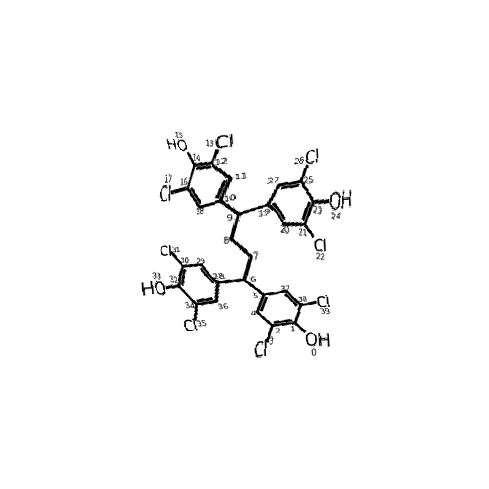 Oc1c(Cl)cc(C(CCC(c2cc(Cl)c(O)c(Cl)c2)c2cc(Cl)c(O)c(Cl)c2)c2cc(Cl)c(O)c(Cl)c2)cc1Cl